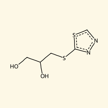 OCC(O)CSc1nncs1